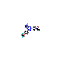 C=CC(=O)N1CCN(c2nc(-c3ccc(OC(F)(F)F)cc3)c3ncn(C)c3n2)CC1